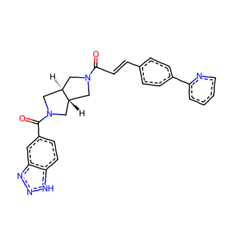 O=C(/C=C/c1ccc(-c2ccccn2)cc1)N1C[C@@H]2CN(C(=O)c3ccc4[nH]nnc4c3)C[C@H]2C1